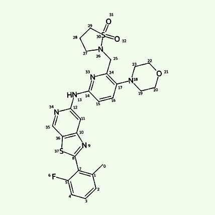 Cc1cccc(F)c1-c1nc2cc(Nc3ccc(N4CCOCC4)c(CN4CCCS4(=O)=O)n3)ncc2s1